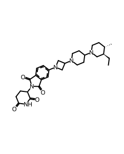 CC[C@H]1CN(C2CCN(C3CN(c4ccc5c(c4)C(=O)N(C4CCC(=O)NC4=O)C5=O)C3)CC2)CC[C@@H]1C